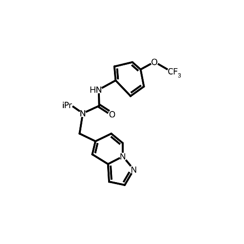 CC(C)N(Cc1ccn2nccc2c1)C(=O)Nc1ccc(OC(F)(F)F)cc1